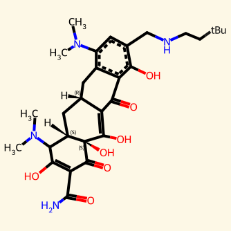 CN(C)c1cc(CNCCC(C)(C)C)c(O)c2c1C[C@H]1C[C@H]3C(N(C)C)C(O)=C(C(N)=O)C(=O)[C@@]3(O)C(O)=C1C2=O